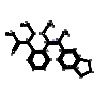 COCN(C(=O)OC)c1ccccc1/C(ON)=C(/C)c1ccc2c(c1)CCC2